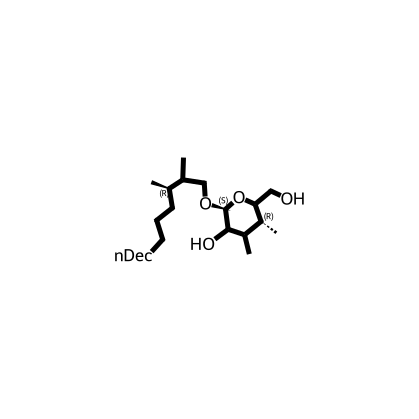 CCCCCCCCCCCCC[C@@H](C)C(C)CO[C@H]1OC(CO)[C@H](C)C(C)C1O